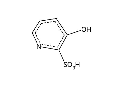 O=S(=O)(O)c1ncccc1O